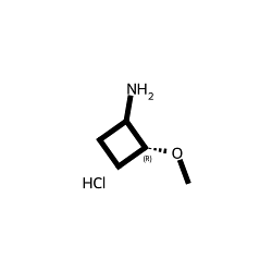 CO[C@@H]1CCC1N.Cl